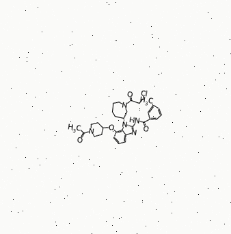 CC(=O)N1CCC(Oc2cccc3nc(NC(=O)c4cccc(C)c4)n([C@@H]4CCCCN(C(=O)CCCl)C4)c23)CC1